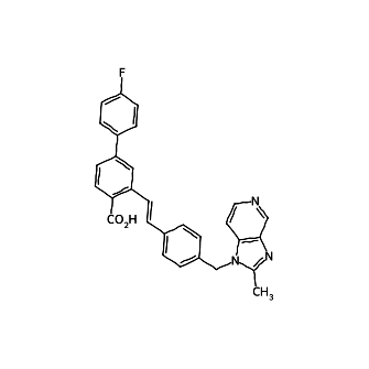 Cc1nc2cnccc2n1Cc1ccc(C=Cc2cc(-c3ccc(F)cc3)ccc2C(=O)O)cc1